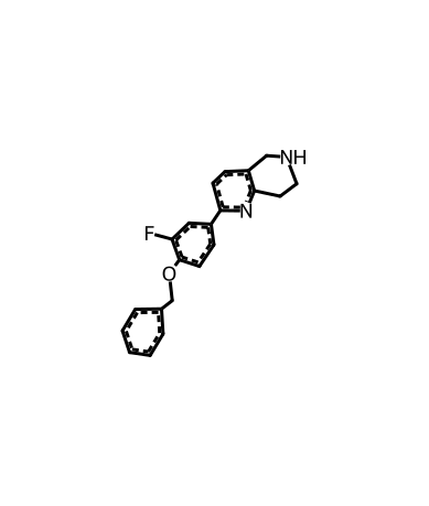 Fc1cc(-c2ccc3c(n2)CCNC3)ccc1OCc1ccccc1